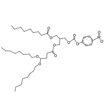 CCCCCCCCOC(CCC(=O)OCC(COC(=O)CCCCCCCC)COC(=O)Oc1ccc([N+](=O)[O-])cc1)OCCCCCCCC